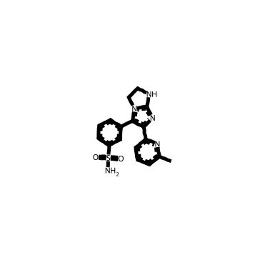 Cc1cccc(-c2nc3n(c2-c2cccc(S(N)(=O)=O)c2)CCN3)n1